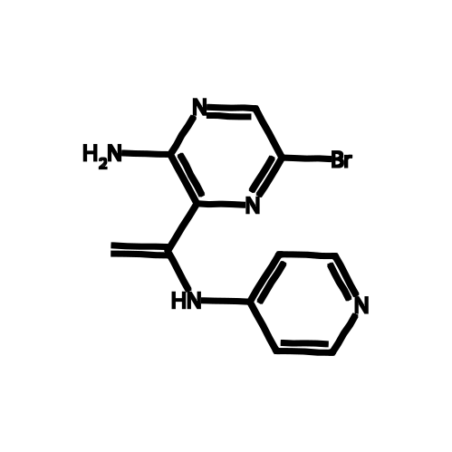 C=C(Nc1ccncc1)c1nc(Br)cnc1N